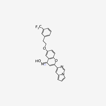 O/N=c1/cc(-c2cc3cccn3cn2)oc2ccc(OCCc3cccc(C(F)(F)F)c3)cc12